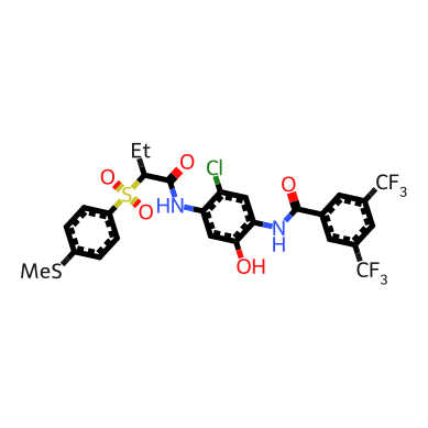 CCC(C(=O)Nc1cc(O)c(NC(=O)c2cc(C(F)(F)F)cc(C(F)(F)F)c2)cc1Cl)S(=O)(=O)c1ccc(SC)cc1